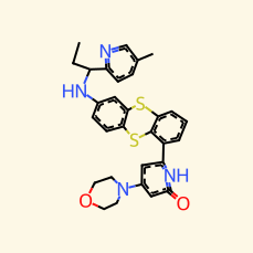 CCC(Nc1ccc2c(c1)Sc1cccc(-c3cc(N4CCOCC4)cc(=O)[nH]3)c1S2)c1ccc(C)cn1